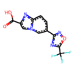 O=C(O)c1cn2cc(-c3noc(C(F)(F)F)n3)ccc2n1